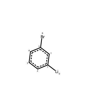 [Li][c]1cccc(Br)c1